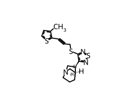 Cc1ccsc1C#CCSc1nsnc1[C@@H]1CN2CCC[C@H]1C2